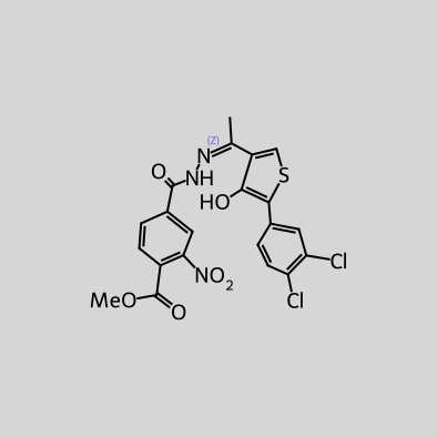 COC(=O)c1ccc(C(=O)N/N=C(/C)c2csc(-c3ccc(Cl)c(Cl)c3)c2O)cc1[N+](=O)[O-]